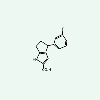 O=C(O)c1cc2c([nH]1)CCC2c1cccc(F)c1